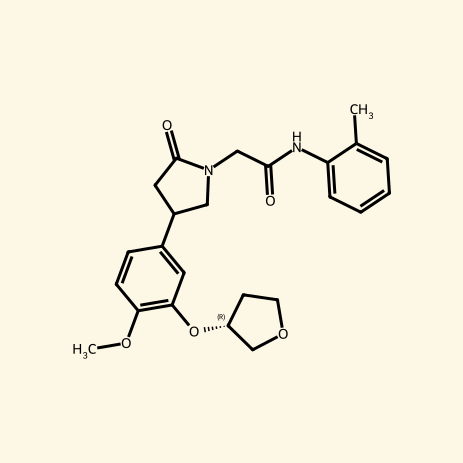 COc1ccc(C2CC(=O)N(CC(=O)Nc3ccccc3C)C2)cc1O[C@@H]1CCOC1